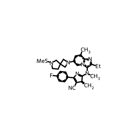 C=C1C(N(C)c2c(CC)nc3c(C)cc(N4CC5(CCN(SC)C5)C4)cn23)=NC(c2ccc(F)cc2)=C1C#N